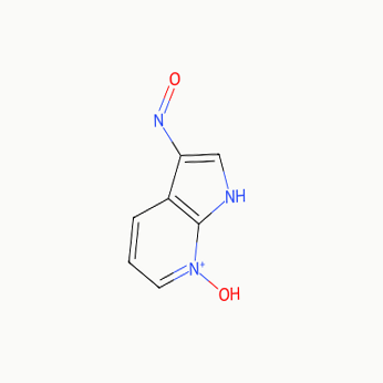 O=Nc1c[nH]c2c1ccc[n+]2O